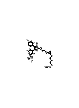 CNCCCCCC1CC1OCCSc1nc(-c2ccnc(NCC(C)C)c2)c(C2=C=C=C(F)C=C2)[nH]1